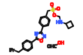 CC(C)Cc1ccc(-c2nc(-c3ccc(CS(=O)(=O)OCNC4CCC4)cc3)no2)cc1.O=CO